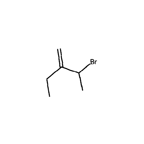 C=C(CC)C(C)Br